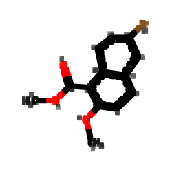 COC(=O)c1c(OC)ccc2cc(Br)ccc12